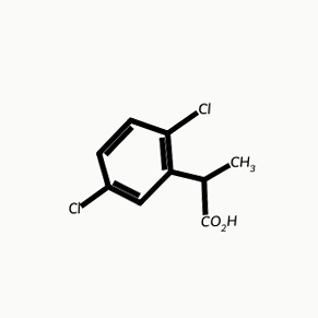 CC(C(=O)O)c1cc(Cl)ccc1Cl